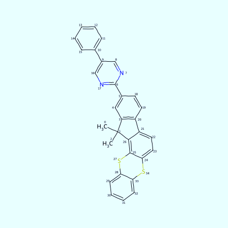 CC1(C)c2cc(-c3ncc(-c4ccccc4)cn3)ccc2-c2ccc3c(c21)Sc1ccccc1S3